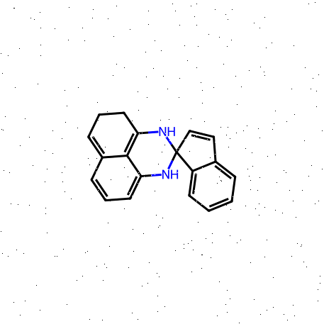 C1=CC2(NC3=c4c(cccc4=CCC3)N2)c2ccccc21